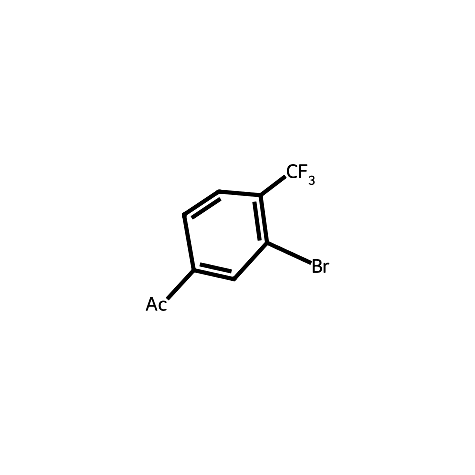 CC(=O)c1ccc(C(F)(F)F)c(Br)c1